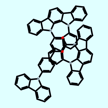 C1=CC(n2c3ccccc3c3ccc4c5ccccc5n(-c5cc(-c6ccc(-n7c8ccccc8c8ccccc87)cc6)cc(-n6c7ccccc7c7ccc8c9ccccc9n(-c9ccccc9)c8c76)c5)c4c32)=CCC1